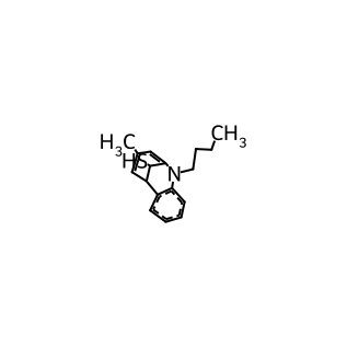 CCCCN1C2=CC(C)=CC(c3ccccc31)C2S